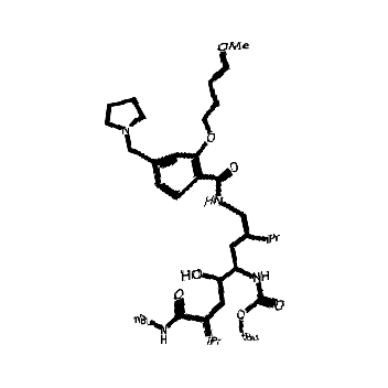 CCCCNC(=O)C(CC(O)C(CC(CNC(=O)c1ccc(CN2CCCC2)cc1OCCCCOC)C(C)C)NC(=O)OC(C)(C)C)C(C)C